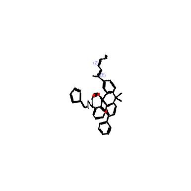 C=C/C=C\C=C(/C)c1ccc2c(c1)C1(c3ccccc3N(CC3C=CC=C3)c3ccccc31)c1cc(-c3ccccc3)ccc1C2(C)C